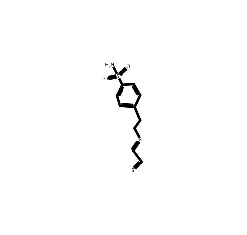 NS(=O)(=O)c1ccc(CCN=CC=S)cc1